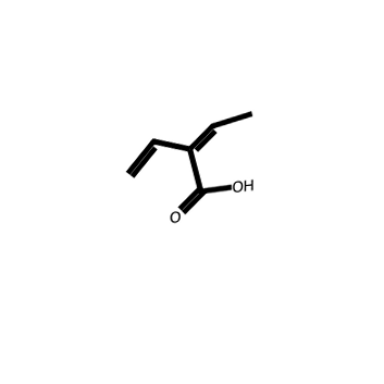 C=CC(=CC)C(=O)O